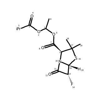 CC(OC(=O)C(C)C)OC(=O)[C@@H]1N2C(=O)[C@@H](F)[C@H]2SC1(C)C